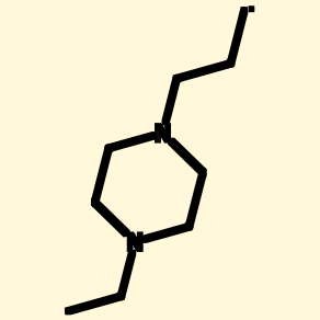 [CH2]CCN1CCN(CC)CC1